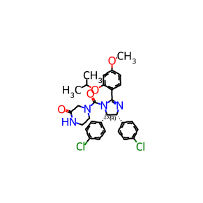 COc1ccc(C2=N[C@H](c3ccc(Cl)cc3)[C@H](c3ccc(Cl)cc3)N2C(=O)N2CCNC(=O)C2)c(OC(C)C)c1